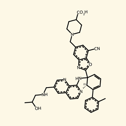 Cc1ccccc1C1=CC=CC(Nc2nccc3cc(CNCC(C)O)cnc23)(c2nc3cc(CN4CCC(C(=O)O)CC4)cc(C#N)c3o2)[C@H]1C